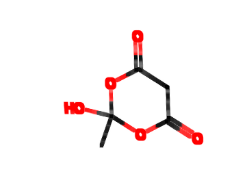 CC1(O)OC(=O)CC(=O)O1